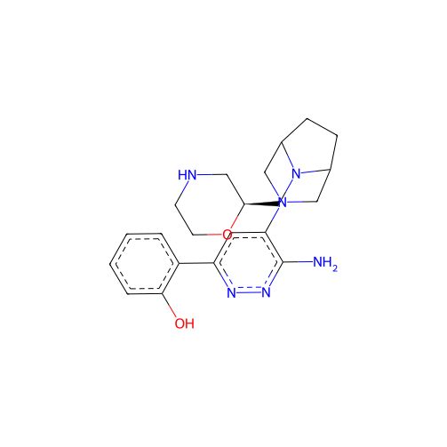 Nc1nnc(-c2ccccc2O)cc1N1CC2CCC(C1)N2C[C@@H]1CNCCO1